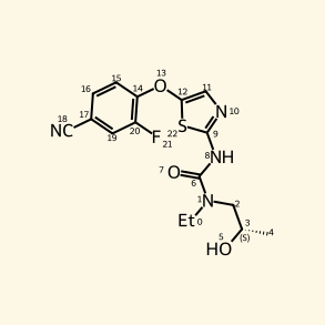 CCN(C[C@H](C)O)C(=O)Nc1ncc(Oc2ccc(C#N)cc2F)s1